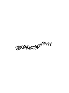 CCCCCc1ccc(/N=N/c2ccc(/N=N/c3ccc(N4CCOCC4)cc3)cc2C)cc1